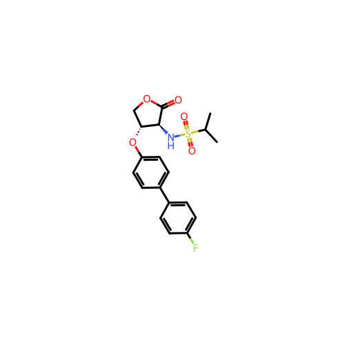 CC(C)S(=O)(=O)N[C@@H]1C(=O)OC[C@H]1Oc1ccc(-c2ccc(F)cc2)cc1